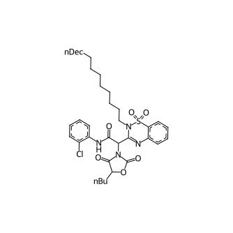 CCCCCCCCCCCCCCCCCCN1C(C(C(=O)Nc2ccccc2Cl)N2C(=O)OC(CCCC)C2=O)=Nc2ccccc2S1(=O)=O